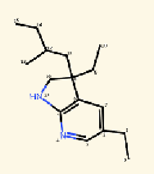 CCc1cnc2c(c1)C(CC)(CC(C)CC)CN2